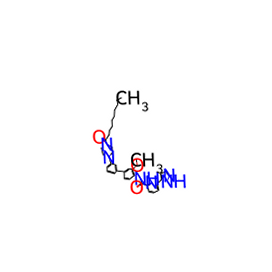 CCCCCCCCCC(=O)N1CCN(c2cccc(-c3ccc(NC(=O)c4cccc(-c5ccn[nH]5)n4)c(OC)c3)c2)CC1